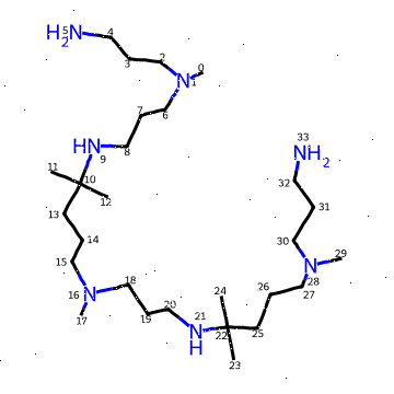 CN(CCCN)CCCNC(C)(C)CCCN(C)CCCNC(C)(C)CCCN(C)CCCN